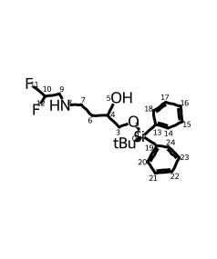 CC(C)(C)[Si](OCC(O)CCNCC(F)F)(c1ccccc1)c1ccccc1